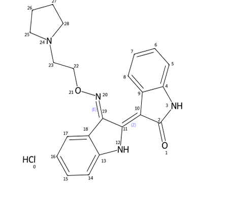 Cl.O=C1Nc2ccccc2/C1=C1/Nc2ccccc2/C1=N\OCCN1CCCC1